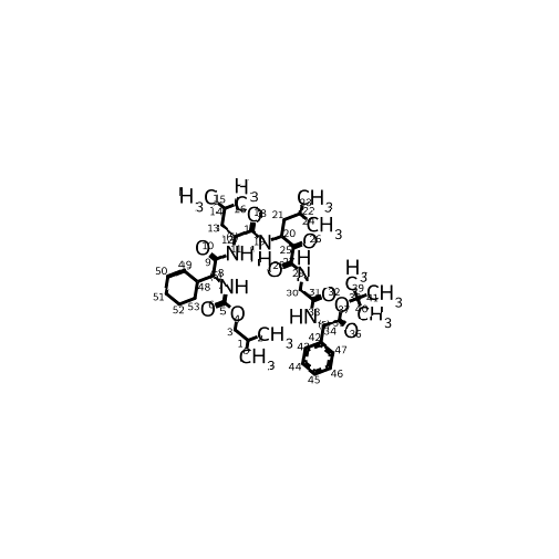 CC(C)COC(=O)N[C@H](C(=O)N[C@@H](CC(C)C)C(=O)NC(CC(C)C)C(=O)C(=O)NCC(=O)N[C@H](C(=O)OC(C)(C)C)c1ccccc1)C1CCCCC1